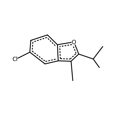 Cc1c(C(C)C)oc2ccc(Cl)cc12